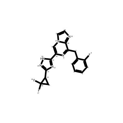 Fc1ccccc1Cc1nc(-c2nc(C3CC3(F)F)n[nH]2)cn2ccnc12